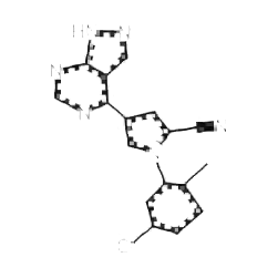 Cc1ccc(Cl)cc1-n1cc(-c2ncnc3[nH]ncc23)cc1C#N